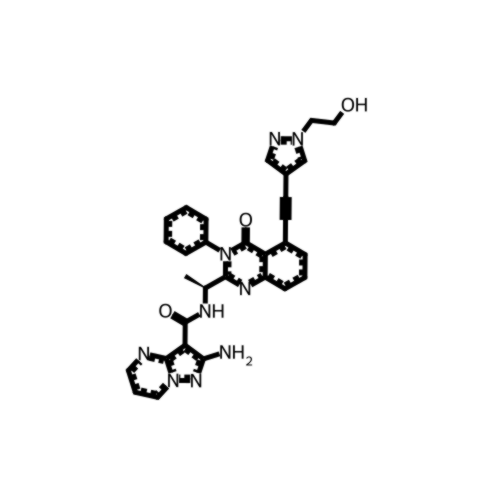 C[C@H](NC(=O)c1c(N)nn2cccnc12)c1nc2cccc(C#Cc3cnn(CCO)c3)c2c(=O)n1-c1ccccc1